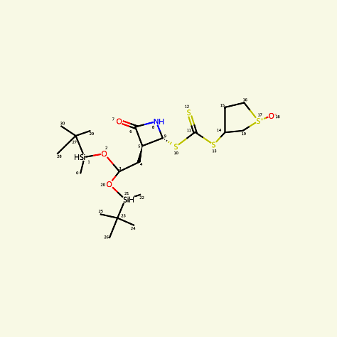 C[SiH](OC(C[C@H]1C(=O)N[C@@H]1SC(=S)SC1CC[S+]([O-])C1)O[SiH](C)C(C)(C)C)C(C)(C)C